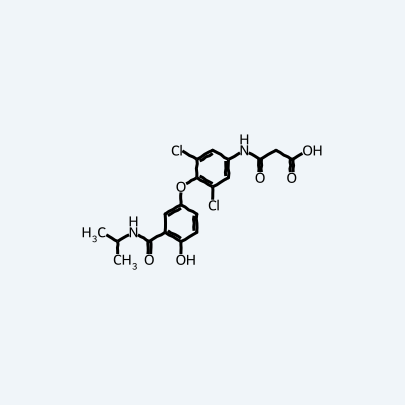 CC(C)NC(=O)c1cc(Oc2c(Cl)cc(NC(=O)CC(=O)O)cc2Cl)ccc1O